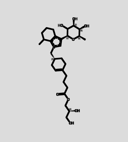 CC1CCCc2c([C@@H]3O[C@H](C)[C@H](O)[C@H](O)C3O)cn(C[C@H]3CC=C(CCCC(=O)OC[C@H](O)CO)CC3)c21